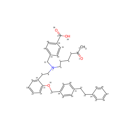 CC(=O)CCCCN(CCc1ccccc1OCc1ccc(CCc2ccccc2)cc1)Cc1ccc(C(=O)O)cc1